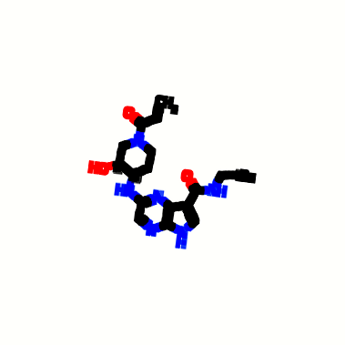 C=CC(=O)N1CC[C@@H](Nc2cnc3[nH]cc(C(=O)NCC(C)(C)C)c3n2)[C@@H](O)C1